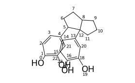 Oc1ccc(C2CCC3CCCC32c2ccc(O)c(O)c2)cc1O